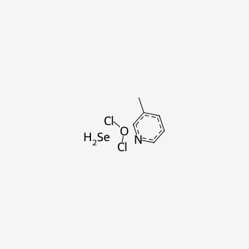 Cc1cccnc1.ClOCl.[SeH2]